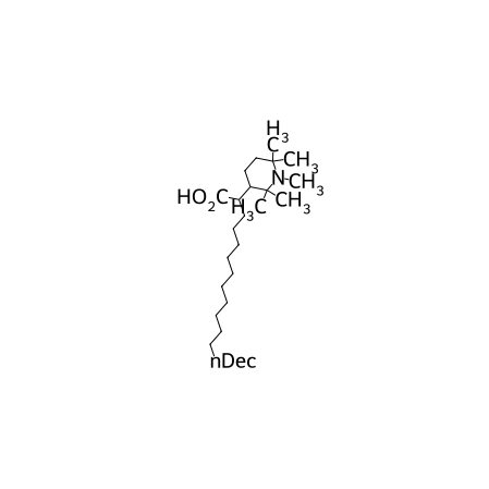 CCCCCCCCCCCCCCCCCCCCC(C(=O)O)C1CCC(C)(C)N(C)C1(C)C